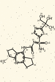 C[C@@H]1CCc2c1nc1c(c2NC(=O)N=S(N)(=O)c2cnc([C@@](C)(O)CO)s2)CCC1